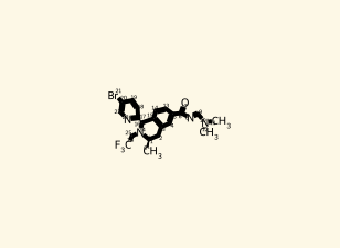 C[C@@H]1Cc2cc(C(=O)/N=C/N(C)C)ccc2[C@@H](c2ccc(Br)cn2)N1CC(F)(F)F